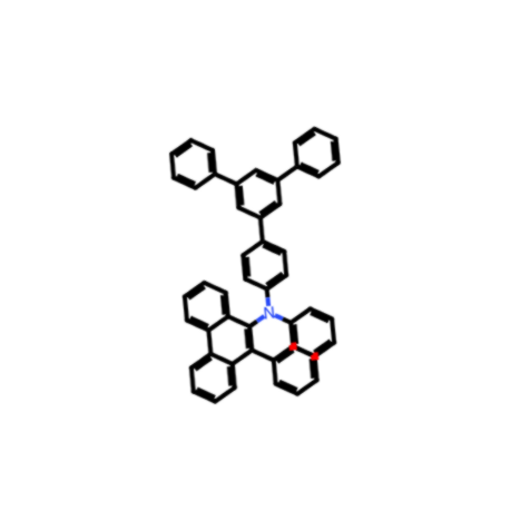 c1ccc(-c2cc(-c3ccccc3)cc(-c3ccc(N(c4ccccc4)c4c(-c5ccccc5)c5ccccc5c5ccccc45)cc3)c2)cc1